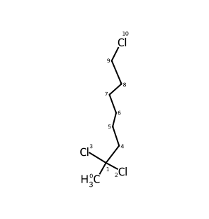 CC(Cl)(Cl)CCCCCCCl